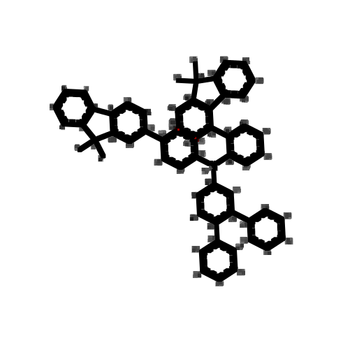 CC1(C)c2ccccc2-c2ccc(-c3ccc(N(c4ccc(-c5ccccc5)c(-c5ccccc5)c4)c4ccccc4-c4cccc5c4-c4ccccc4C5(C)C)cc3)cc21